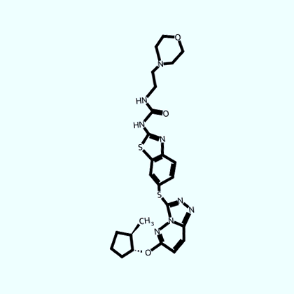 C[C@@H]1CCC[C@H]1Oc1ccc2nnc(Sc3ccc4nc(NC(=O)NCCN5CCOCC5)sc4c3)n2n1